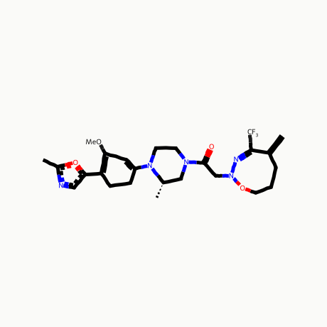 C=C1CCCON(CC(=O)N2CCN(C3=CC(OC)=C(c4cnc(C)o4)CC3)[C@@H](C)C2)/N=C\1C(F)(F)F